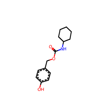 O=C(NC1CCCCC1)OCc1ccc(O)cc1